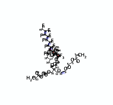 C=CC(=O)OCCOO/C=C\OCC(COCCCC(F)(OC(F)(/C(F)=C(F)/C(F)=C(F)/C(F)=C(F)/C(F)=C(\F)CF)C(F)(F)C(F)(F)F)C(F)(F)F)(COOOOC(=O)C=C)COOOOC(=O)C=C